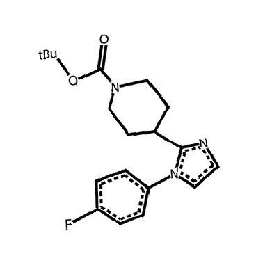 CC(C)(C)OC(=O)N1CCC(c2nccn2-c2ccc(F)cc2)CC1